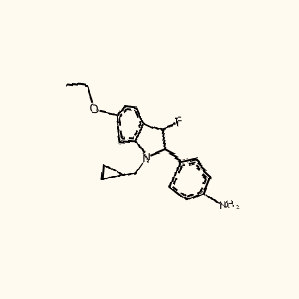 CCOc1ccc2c(c1)N(CC1CC1)C(c1ccc(N)cc1)C2F